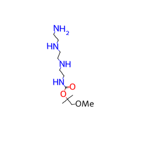 COCC(C)(C)OC(=O)NCCNCCNCCN